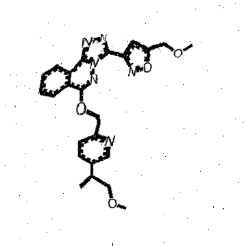 COCc1cc(-c2nnc3c4ccccc4c(OCc4ccc(C(C)COC)cn4)nn23)no1